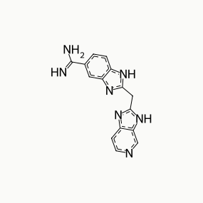 N=C(N)c1ccc2[nH]c(Cc3nc4ccncc4[nH]3)nc2c1